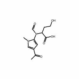 CC(=O)c1cc(N(C=O)C(CCO)C(=O)O)n(C)c1